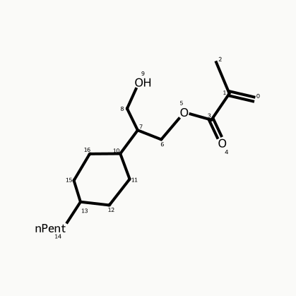 C=C(C)C(=O)OCC(CO)C1CCC(CCCCC)CC1